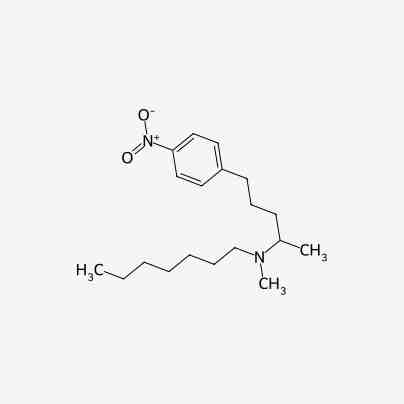 CCCCCCCN(C)C(C)CCCc1ccc([N+](=O)[O-])cc1